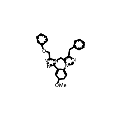 COC1C=C2C(=CC1)n1cnc(Cc3ccccc3)c1Cn1c(COc3ccccc3)nnc12